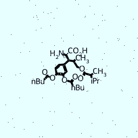 CCCCC(=O)Oc1ccc(C(C(C)COC(=O)C(C)C(C)C)[C@H](N)C(=O)O)cc1OC(=O)CCCC